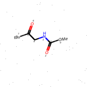 COC(=O)NCC(=O)C(C)(C)C